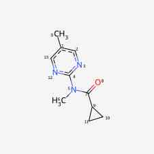 Cc1cnc(N(C)C(=O)C2CC2)nc1